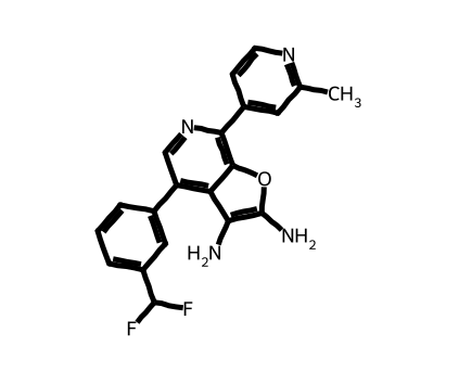 Cc1cc(-c2ncc(-c3cccc(C(F)F)c3)c3c(N)c(N)oc23)ccn1